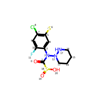 O=C(N(c1cc([S])c(Cl)cc1F)N1CCCCN1)S(=O)O